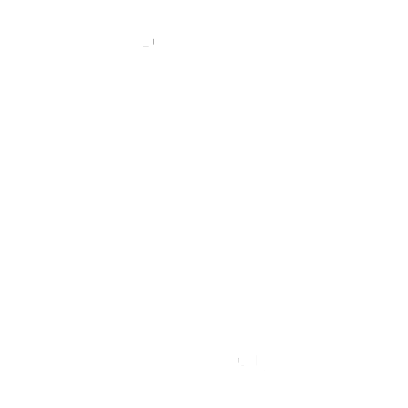 CC=CCCC=CC=CCC